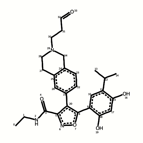 CCNC(=O)c1noc(-c2cc(C(C)C)c(O)cc2O)c1-c1ccc2c(c1)CCN(CCC=O)C2